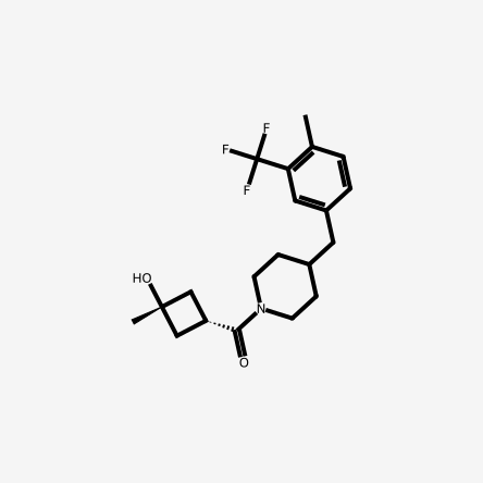 Cc1ccc(CC2CCN(C(=O)[C@H]3C[C@@](C)(O)C3)CC2)cc1C(F)(F)F